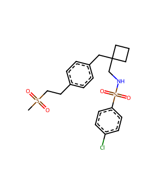 CS(=O)(=O)CCc1ccc(CC2(CNS(=O)(=O)c3ccc(Cl)cc3)CCC2)cc1